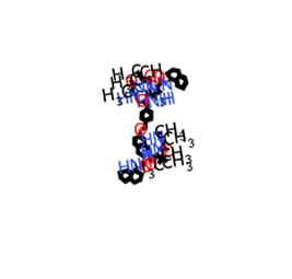 CN[C@@H](C)C(=O)N[C@H](C(=O)N1C[C@@H](NC(=O)c2ccc(COc3ccc4c(c3)CN(C(=O)[C@@H](NC(=O)[C@H](C)NC)C(C)(C)C)[C@H](C(=O)N[C@@H]3CCCc5ccccc53)C4)cc2)CC1C(=O)N[C@@H]1CCCc2ccccc21)C(C)(C)C